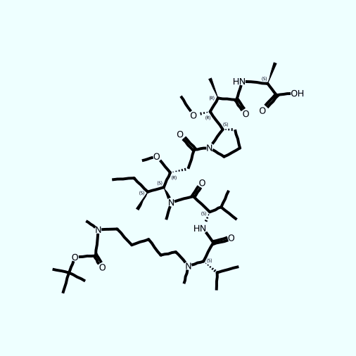 CC[C@H](C)[C@@H]([C@@H](CC(=O)N1CCC[C@H]1[C@H](OC)[C@@H](C)C(=O)N[C@@H](C)C(=O)O)OC)N(C)C(=O)[C@@H](NC(=O)[C@H](C(C)C)N(C)CCCCCN(C)C(=O)OC(C)(C)C)C(C)C